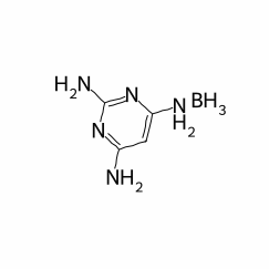 B.Nc1cc(N)nc(N)n1